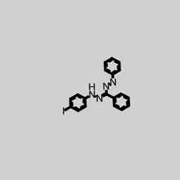 Ic1ccc(NN=C(N=Nc2ccccc2)c2ccccc2)cc1